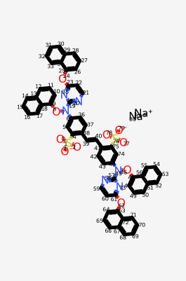 O=S(=O)([O-])c1cc(N(Oc2cccc3ccccc23)c2nccc(Oc3cccc4ccccc34)n2)ccc1C=Cc1ccc(N(Oc2cccc3ccccc23)c2nccc(Oc3cccc4ccccc34)n2)cc1S(=O)(=O)[O-].[Na+].[Na+]